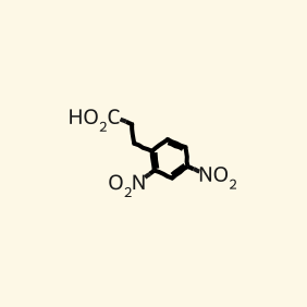 O=C(O)CCc1ccc([N+](=O)[O-])cc1[N+](=O)[O-]